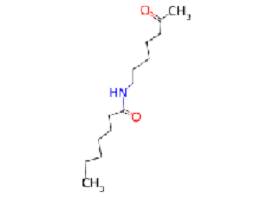 CCCCCCC(=O)NCCCCCC(C)=O